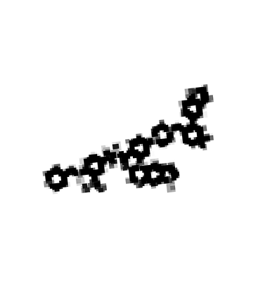 CC1(C)CCC(CN2CCN(c3ccc(C(=O)NS(=O)(=O)c4ccc(NCC5CCOCC5)c([N+](=O)[O-])c4)c(N4CCOc5nc6[nH]ccc6cc54)c3)CC2)=C(c2ccc3[nH]ccc3c2)C1